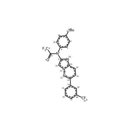 CC(C)(C)c1ccc(N(C(=O)C(F)(F)F)c2cn3nc(-c4cccc(C(F)(F)F)c4)ccc3n2)cc1